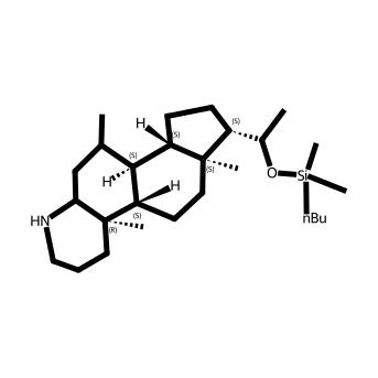 CCCC[Si](C)(C)OC(C)[C@H]1CC[C@H]2[C@@H]3C(C)CC4NCCC[C@]4(C)[C@H]3CC[C@]12C